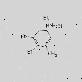 CCNCC.CCc1cccc(C)c1CC